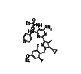 CCOc1cc(F)c(Cn2nc(-c3nc(N)c(NS(=O)(=O)CC)c(Nc4ccncc4)n3)c(C)c2C2CC2)c(F)c1